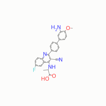 COc1ccc(-c2ccc(-c3nc4ccc(F)cc4c(NC(C)C(=O)O)c3C#N)cc2)cc1N